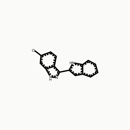 Clc1ccc2c(-c3cc4ccccc4[nH]3)n[nH]c2c1